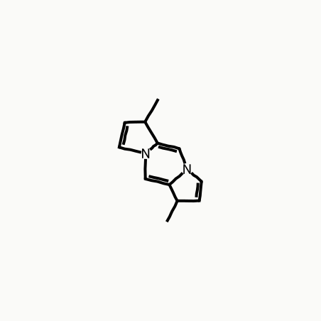 CC1C=CN2C=C3C(C)C=CN3C=C12